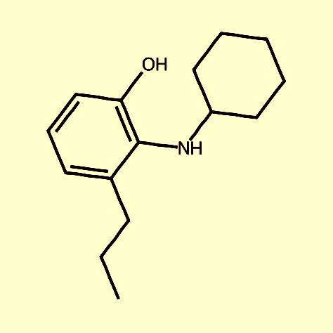 CCCc1cccc(O)c1NC1CCCCC1